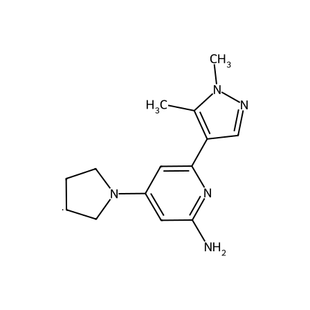 Cc1c(-c2cc(N3C[CH]CC3)cc(N)n2)cnn1C